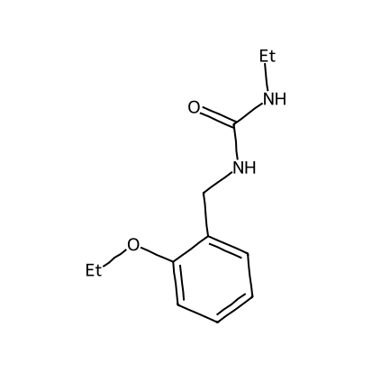 CCNC(=O)NCc1ccccc1OCC